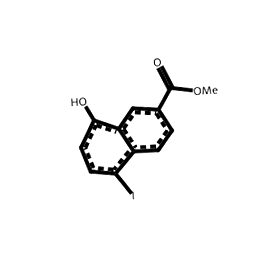 COC(=O)c1ccc2c(I)ccc(O)c2c1